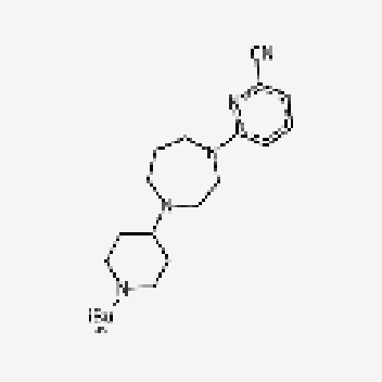 CC[C@@H](C)N1CCC(N2CCCN(c3cccc(C#N)n3)CC2)CC1